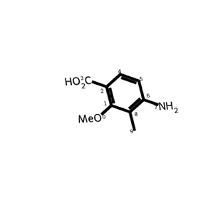 COc1c(C(=O)O)ccc(N)c1C